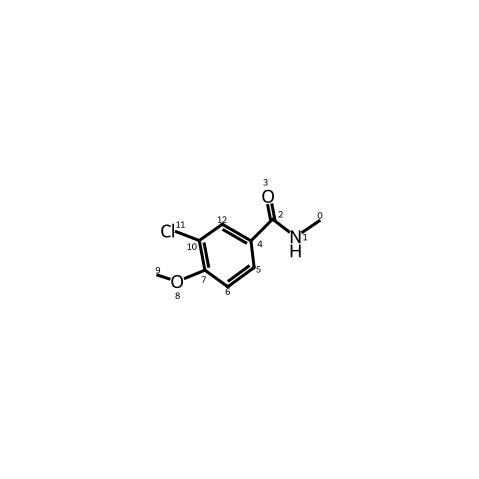 CNC(=O)c1ccc(OC)c(Cl)c1